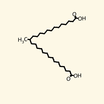 CC(CCCCCCCCCCCCCCC(=O)O)CCCCCCCCCCCCC(=O)O